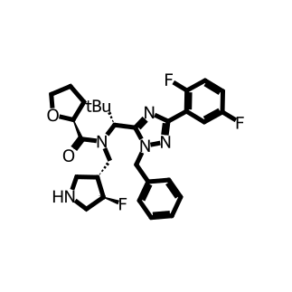 CC(C)(C)[C@H](c1nc(-c2cc(F)ccc2F)nn1Cc1ccccc1)N(C[C@H]1CNC[C@@H]1F)C(=O)[C@@H]1CCCO1